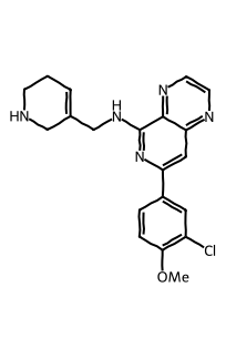 COc1ccc(-c2cc3nccnc3c(NCC3=CCCNC3)n2)cc1Cl